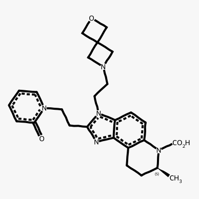 C[C@H]1CCc2c(ccc3c2nc(CCn2ccccc2=O)n3CCN2CC3(COC3)C2)N1C(=O)O